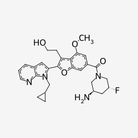 COc1cc(C(=O)N2C[C@H](N)C[C@@H](F)C2)cc2oc(-c3cc4cccnc4n3CC3CC3)c(CCO)c12